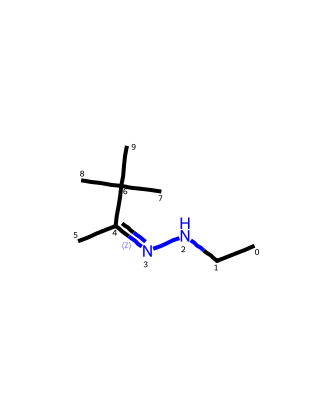 CCN/N=C(/C)C(C)(C)C